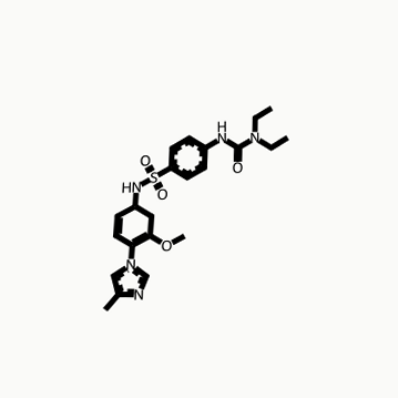 CCN(CC)C(=O)Nc1ccc(S(=O)(=O)NC2C=CC(n3cnc(C)c3)=C(OC)C2)cc1